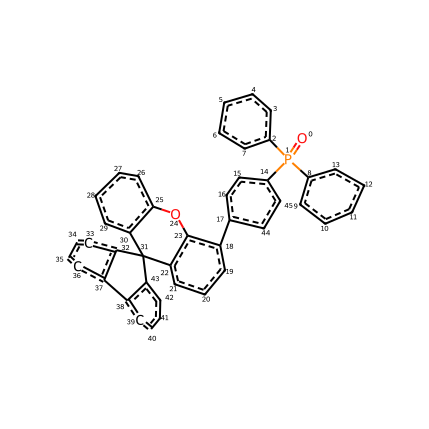 O=P(c1ccccc1)(c1ccccc1)c1ccc(-c2cccc3c2Oc2ccccc2C32c3ccccc3-c3ccccc32)cc1